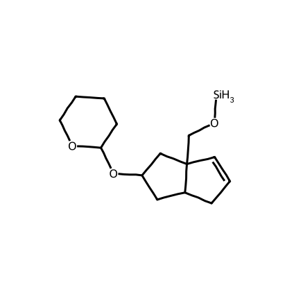 [SiH3]OCC12C=CCC1CC(OC1CCCCO1)C2